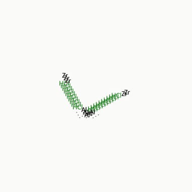 Cl.Cl.Cl.Cl.Cl.Cl.Cl.Cl.Cl.Cl.Cl.Cl.Cl.Cl.Cl.Cl.Cl.Cl.Cl.Cl.Cl.[Al].[Al].[Al].[Al].[Al].[Zr].[Zr].[Zr].[Zr].[Zr]